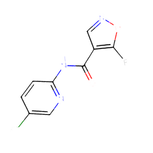 CCc1oncc1C(=O)Nc1ccc(Cl)cn1